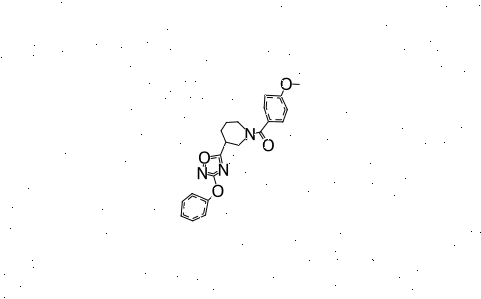 COc1ccc(C(=O)N2CCCC(c3nc(Oc4ccccc4)no3)C2)cc1